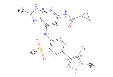 Cc1nc2c(Nc3ccc(-c4cnn(C)c4C)cc3S(C)(=O)=O)cc(NC(=O)C3CC3)nc2[nH]1